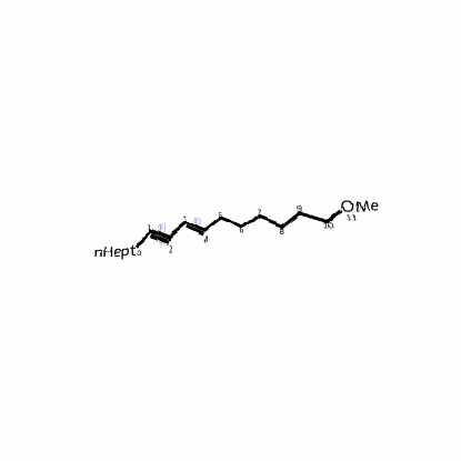 CCCCCCC/C=C/C=C/CCCCCCOC